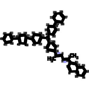 C/C(=C\C=C(/C)c1ccc2ccccc2c1)c1ccc(N(c2ccc(-c3ccccc3)cc2)c2ccc(-c3ccc(-c4ccccc4)cc3)cc2)cc1